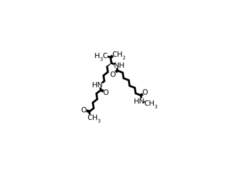 C=C(C)[C@H](CCCCNC(=O)CCCCC(C)=O)NC(=O)CCCCCCC(=O)NC